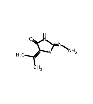 CC(C)=C1SC(=NN)NC1=O